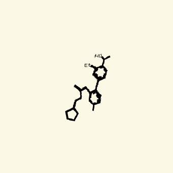 C=C(CCC1CCCC1)Cc1cc(C)ccc1-c1ccc(C(C)O)c(CC)c1